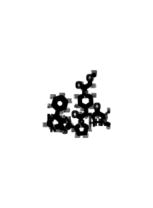 CN[C@@H](C)C(=O)N[C@H](C(=O)N1CCC[C@H]1c1nc2c(-c3ccccc3)ncnc2s1)C1CCN(C(=O)COC)CC1